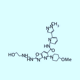 COC1CCN(c2nc3nc(NCCNCCO)oc3cc2C(=O)Nc2cccc(-c3cnn(C)c3)n2)CC1